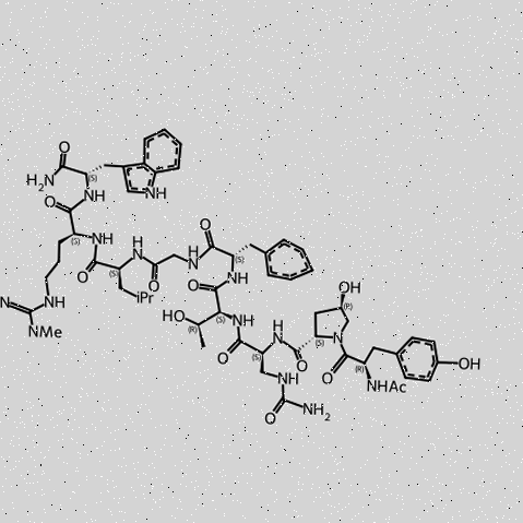 CNC(=N)NCCC[C@H](NC(=O)[C@H](CC(C)C)NC(=O)CNC(=O)[C@H](Cc1ccccc1)NC(=O)[C@@H](NC(=O)[C@H](CNC(N)=O)NC(=O)[C@@H]1C[C@@H](O)CN1C(=O)[C@@H](Cc1ccc(O)cc1)NC(C)=O)[C@@H](C)O)C(=O)N[C@@H](Cc1c[nH]c2ccccc12)C(N)=O